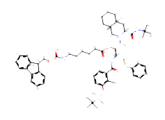 Cc1c(O[Si](C)(C)C(C)(C)C)cccc1C(=O)N[C@@H](CSc1ccccc1)[C@@H](CN1C[C@H]2CCCC[C@H]2C[C@H]1C(=O)NC(C)(C)C)OC(=O)CCCCCNC(=O)OCC1c2ccccc2-c2ccccc21